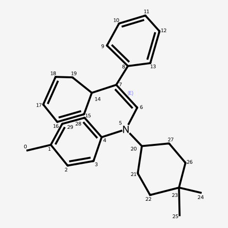 Cc1ccc(N(/C=C(/c2ccccc2)C2C=CC=CC2)C2CCC(C)(C)CC2)cc1